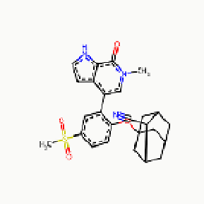 Cn1cc(-c2cc(S(C)(=O)=O)ccc2OC23CC4CC(C2)C(C#N)C(C4)C3)c2cc[nH]c2c1=O